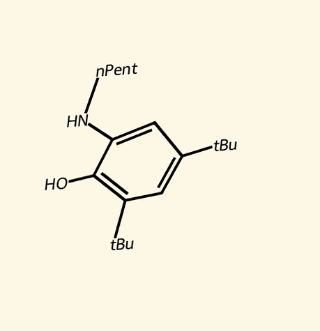 CCCCCNc1cc(C(C)(C)C)cc(C(C)(C)C)c1O